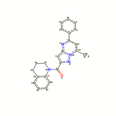 O=C(c1cc2nc(-c3ccccc3)cc(C(F)(F)F)n2n1)N1CCCc2ccccc21